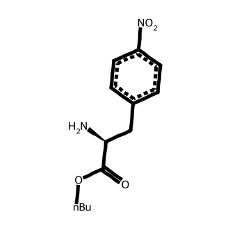 CCCCOC(=O)[C@@H](N)Cc1ccc([N+](=O)[O-])cc1